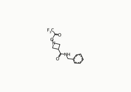 O=C(NCc1ccccc1)C1CN(OC(=O)C(F)(F)F)C1